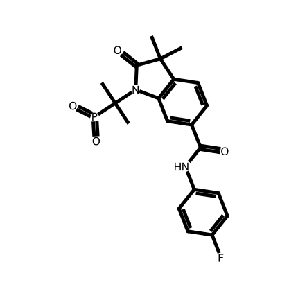 CC1(C)C(=O)N(C(C)(C)P(=O)=O)c2cc(C(=O)Nc3ccc(F)cc3)ccc21